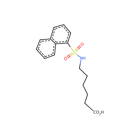 O=C(O)CCCCCNS(=O)(=O)c1cccc2ccccc12